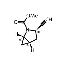 C#C[C@H]1C[C@@H]2C[C@@H]2N1C(=O)OC